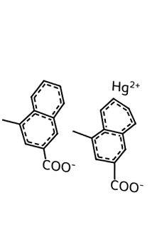 Cc1cc(C(=O)[O-])cc2ccccc12.Cc1cc(C(=O)[O-])cc2ccccc12.[Hg+2]